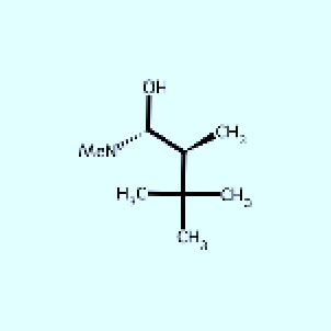 CN[C@H](O)[C@@H](C)C(C)(C)C